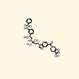 CC(C)(CCn1cnc2cc(C(=O)N3CCc4c(O)noc4C3)cnc21)NC[C@H](O)c1cccc(NS(=O)(=O)c2ccccc2)c1